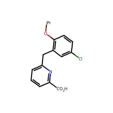 CC(C)Oc1ccc(Cl)cc1Cc1cccc(C(=O)O)n1